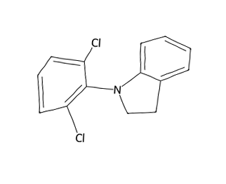 Clc1cccc(Cl)c1N1CCc2ccccc21